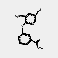 COC(=O)c1cccc(Oc2ncc(Cl)cc2[N+](=O)[O-])c1